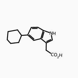 O=C(O)Cc1c[nH]c2ccc(C3CCCCC3)cc12